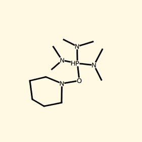 CN(C)[PH](ON1CCCCC1)(N(C)C)N(C)C